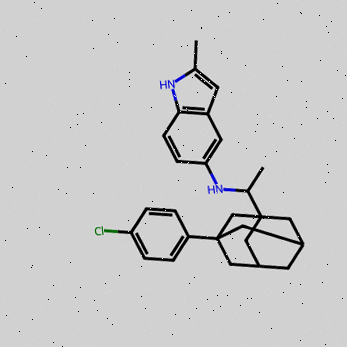 Cc1cc2cc(NC(C)C34CC5CC(CC(c6ccc(Cl)cc6)(C5)C3)C4)ccc2[nH]1